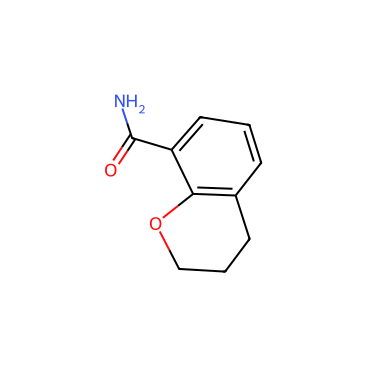 NC(=O)c1cccc2c1OCCC2